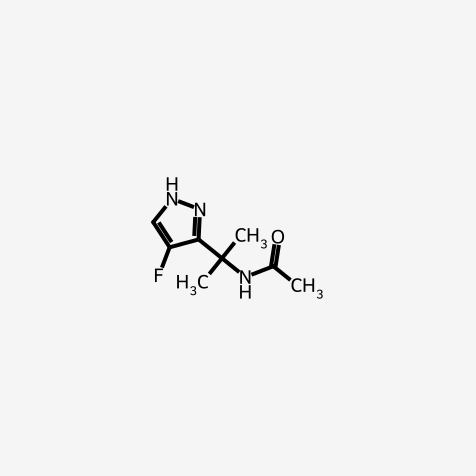 CC(=O)NC(C)(C)c1n[nH]cc1F